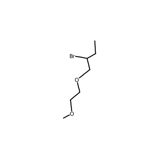 CCC(Br)COCCOC